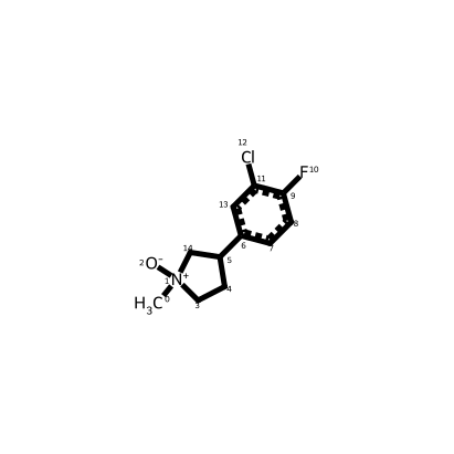 C[N+]1([O-])CCC(c2ccc(F)c(Cl)c2)C1